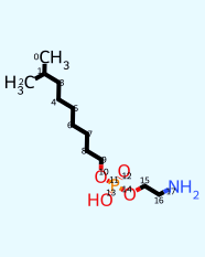 CC(C)CCCCCCCOP(=O)(O)OCCN